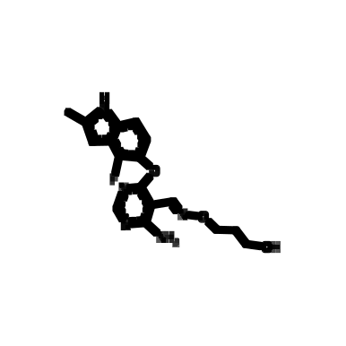 Cc1cc2c(F)c(Oc3ncnc(N)c3C=NOCCCO)ccc2[nH]1